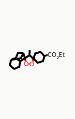 CCOC(=O)C1CCC2(CC1)OOC1(C3CC4CCCC1C4C3)C2C